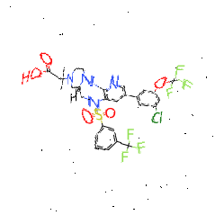 CC(C)(C(=O)O)N1CCN2c3ncc(-c4cc(Cl)cc(OC(F)(F)F)c4)cc3N(S(=O)(=O)c3cccc(C(F)(F)F)c3)C[C@@H]2C1